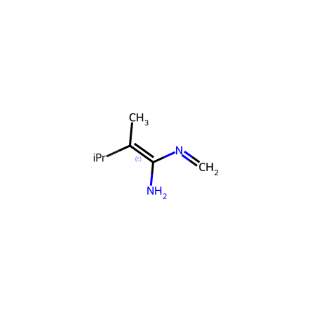 C=N/C(N)=C(\C)C(C)C